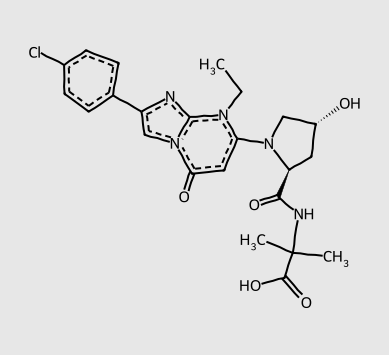 CCn1c(N2C[C@H](O)C[C@H]2C(=O)NC(C)(C)C(=O)O)cc(=O)n2cc(-c3ccc(Cl)cc3)nc12